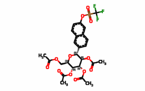 CC(=O)OC[C@H]1O[C@H](c2ccc3cc(OS(=O)(=O)C(F)(F)F)ccc3c2)[C@@H](OC(C)=O)[C@H](OC(C)=O)[C@@H]1OC(C)=O